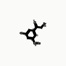 COc1cc(F)cc(C(=O)CBr)c1